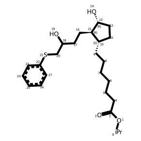 CC(C)OC(=O)CCCCCC[C@H]1CC[C@@H](O)[C@@H]1CCC(O)CSc1ccccc1